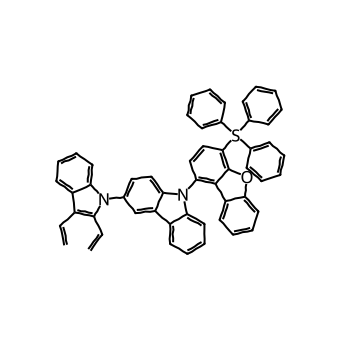 C=Cc1c(C=C)n(-c2ccc3c(c2)c2ccccc2n3-c2ccc(S(c3ccccc3)(c3ccccc3)c3ccccc3)c3oc4ccccc4c23)c2ccccc12